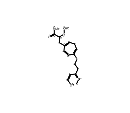 CCC/C=C\C(CCOC1=CCC=C(CC(SC=O)C(=O)NC)C=C1)=N/C